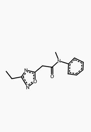 CCc1noc(CC(=O)N(C)c2ccccc2)n1